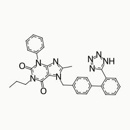 CCCn1c(=O)c2c(nc(C)n2Cc2ccc(-c3ccccc3-c3nnn[nH]3)cc2)n(-c2ccccc2)c1=O